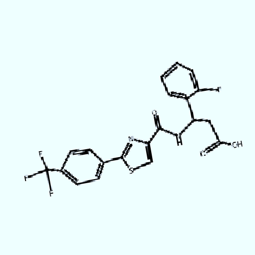 O=C(O)CC(NC(=O)c1csc(-c2ccc(C(F)(F)F)cc2)n1)c1ccccc1F